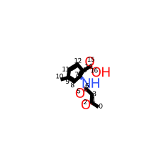 CC(=O)CC(=O)Nc1cc(C)ccc1C(=O)O